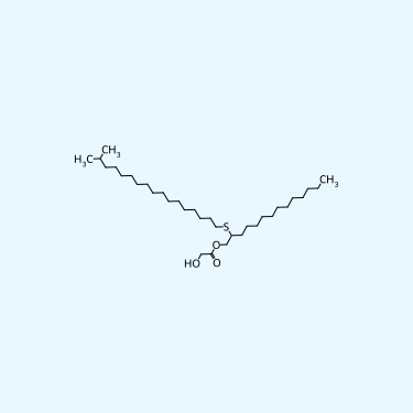 CCCCCCCCCCCCC(COC(=O)CO)SCCCCCCCCCCCCCCCC(C)C